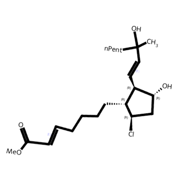 CCCCCC(C)(O)/C=C/[C@@H]1[C@@H](CCCC/C=C/C(=O)OC)[C@H](Cl)C[C@H]1O